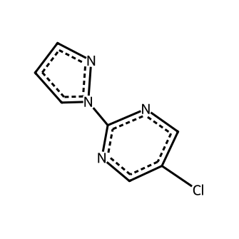 Clc1cnc(-n2cccn2)nc1